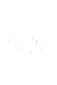 CC(CC#Cc1ccccc1)[C@@H](O)/C=C/[C@H]1CCC(=O)N1CC#Cc1ccc(C(=O)O)s1